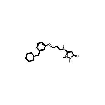 Cn1[nH]c(=O)cc1NCCCOc1cccc(CN2CCCCC2)c1